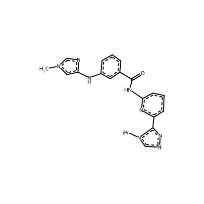 CC(C)n1cnnc1-c1cccc(NC(=O)c2cccc(Nc3cn(C)cn3)c2)n1